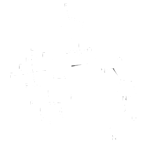 N#CCC(=O)N1CC[C@H](C(=O)N2CC[C@](c3ccc(C(OCc4c(F)cccc4F)(C(F)(F)F)C(F)(F)F)cc3)(S(=O)(=O)c3ccc(F)cc3)C2)C1